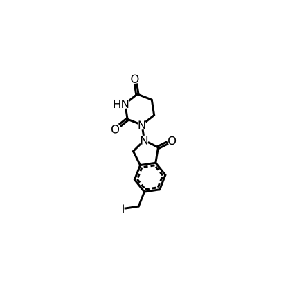 O=C1CCN(N2Cc3cc(CI)ccc3C2=O)C(=O)N1